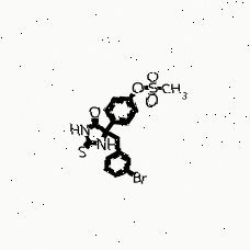 CS(=O)(=O)Oc1ccc(C2(Cc3cccc(Br)c3)NC(=S)NC2=O)cc1